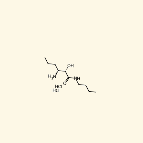 CCCCNC(=O)[C@@H](O)[C@@H](N)CCC.Cl.Cl